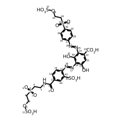 O=C(NCCS(=O)(=O)CCOS(=O)(=O)O)c1ccc(N=Nc2c(O)cc(C(=O)O)c(N=Nc3ccc(S(=O)(=O)CCOS(=O)(=O)O)cc3)c2O)c(S(=O)(=O)O)c1